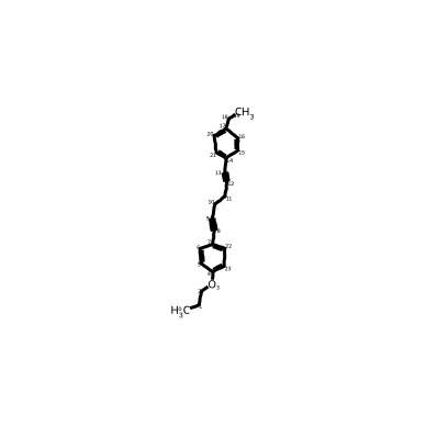 CCCOc1ccc(C#CCCC#Cc2ccc(CC)cc2)cc1